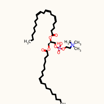 CCCCCCCC/C=C\C/C=C\C/C=C\CCCC(=O)O[C@H](COC(=O)CCCCCCC/C=C\CCCCCCCC)COP(=O)(O)OCC[N+](C)(C)C